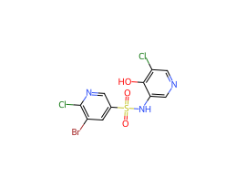 O=S(=O)(Nc1cncc(Cl)c1O)c1cnc(Cl)c(Br)c1